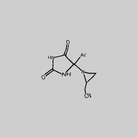 CC(=O)C1(N2CC2C#N)NC(=O)NC1=O